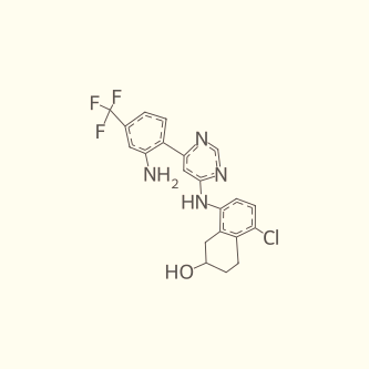 Nc1cc(C(F)(F)F)ccc1-c1cc(Nc2ccc(Cl)c3c2CC(O)CC3)ncn1